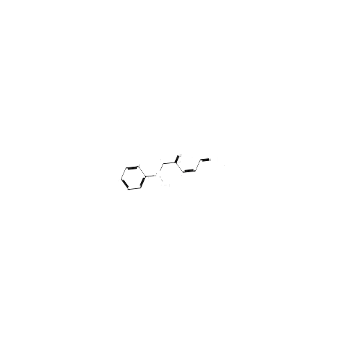 C=C/C=C\C(=C)CN(CC)c1ccccc1